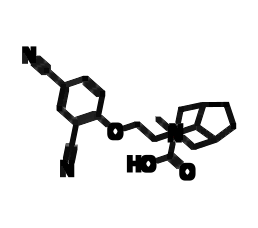 CN(C(=O)O)C1C2CCC1CN(CCOc1ccc(C#N)cc1C#N)C2